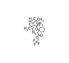 CC(C)(C)CC(C(=O)OC1(CC(=O)OCC(F)(F)F)CCCCC1)C(C)(C)C